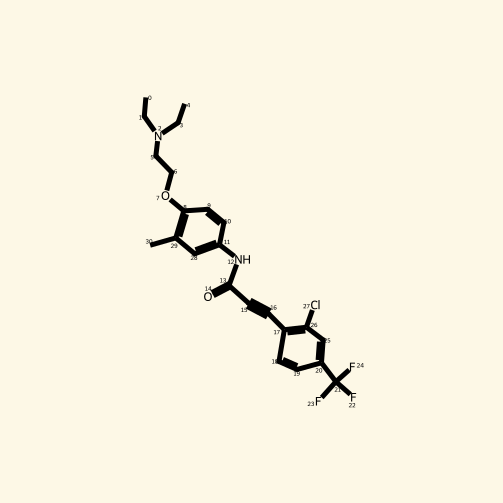 CCN(CC)CCOc1ccc(NC(=O)C#Cc2ccc(C(F)(F)F)cc2Cl)cc1C